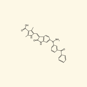 Cc1[nH]c(C=C2C(=O)Nc3cc(N(N)c4cccc(C(=O)c5ccccc5)c4)ccc32)c(C)c1C(=O)O